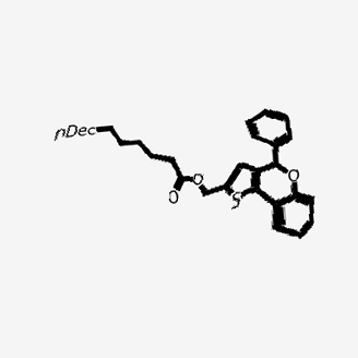 CCCCCCCCCCCCCCCC(=O)OCc1cc2c(s1)-c1ccccc1OC2c1ccccc1